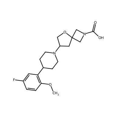 COc1ccc(F)cc1C1CCN(C2COC3(C2)CN(C(=O)O)C3)CC1